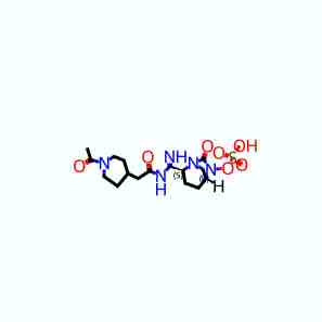 CC(=O)N1CCC(CC(=O)NC(=N)[C@@H]2CC[C@@H]3CN2C(=O)N3OS(=O)(=O)O)CC1